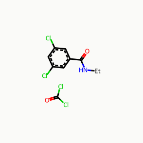 CCNC(=O)c1cc(Cl)cc(Cl)c1.O=C(Cl)Cl